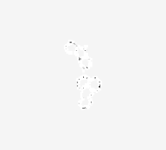 c1ccc2c(c1)-c1cccc3c(-c4ccc5sc6ccccc6c5c4)ccc-2c13